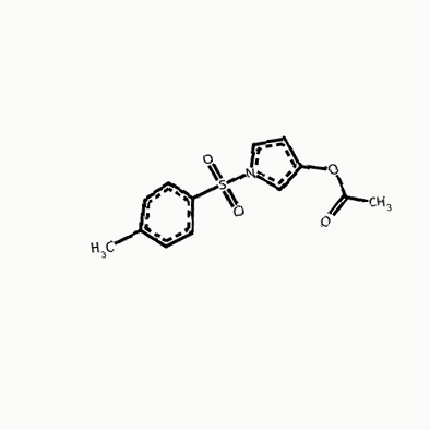 CC(=O)Oc1ccn(S(=O)(=O)c2ccc(C)cc2)c1